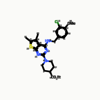 CCOC(=O)C1CCN(c2nc(NCc3ccc(OC)c(Cl)c3)c3c(C)c(C)sc3n2)CC1